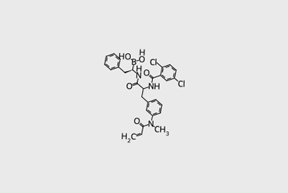 C=CC(=O)N(C)c1cccc(CC(NC(=O)c2cc(Cl)ccc2Cl)C(=O)N[C@@H](Cc2ccccc2)B(O)O)c1